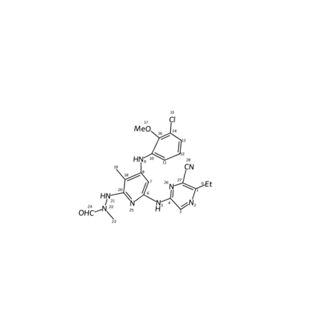 CCc1ncc(Nc2cc(Nc3cccc(Cl)c3OC)c(C)c(NN(C)C=O)n2)nc1C#N